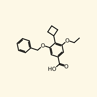 CCOc1cc(C(=O)O)cc(OCc2ccccc2)c1C1CCC1